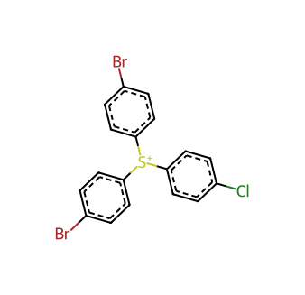 Clc1ccc([S+](c2ccc(Br)cc2)c2ccc(Br)cc2)cc1